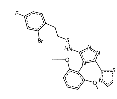 COc1cccc(OC)c1-n1c(NSCCc2ccc(F)cc2Br)nnc1-c1nccs1